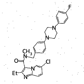 CCc1nc2ccc(Cl)cn2c1C(=O)N(C)Cc1ccc(N2CCN(c3ccc(F)cc3)CC2)cc1